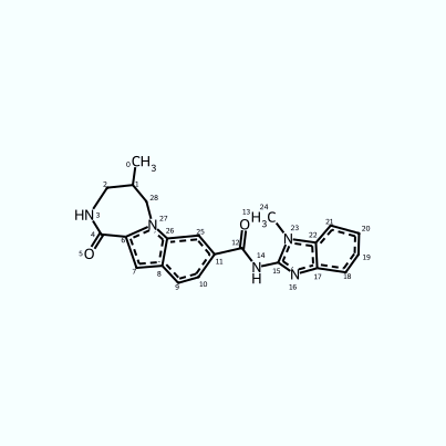 CC1CNC(=O)c2cc3ccc(C(=O)Nc4nc5ccccc5n4C)cc3n2C1